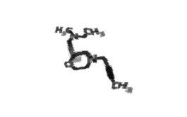 CC#CCN1CCO[C@@H](CN(C)CC)C1